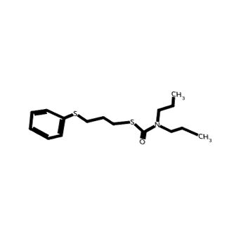 CCCN(CCC)C(=O)SCCCSc1ccccc1